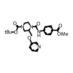 COC(=O)c1ccc(NC(=O)N2CCN(C(=O)OC(C)(C)C)CC2COc2cccnc2)cc1